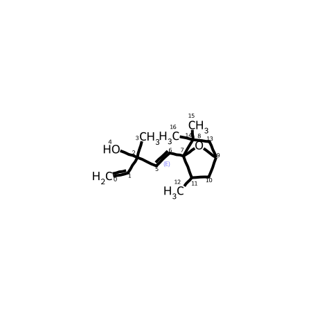 C=CC(C)(O)/C=C/C12OC(CC1C)CC2(C)C